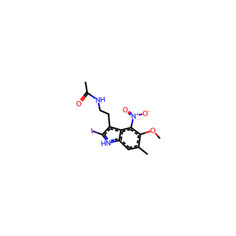 COc1c(C)cc2[nH]c(I)c(CCNC(C)=O)c2c1[N+](=O)[O-]